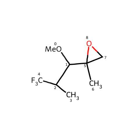 COC(C(C)C(F)(F)F)C1(C)CO1